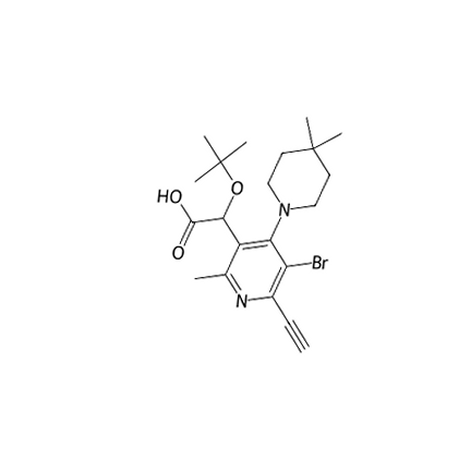 C#Cc1nc(C)c(C(OC(C)(C)C)C(=O)O)c(N2CCC(C)(C)CC2)c1Br